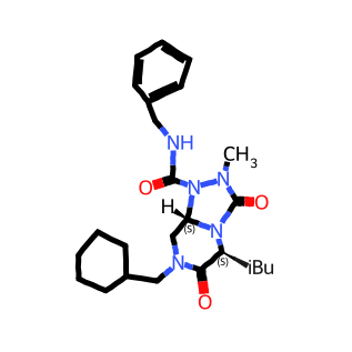 CCC(C)[C@H]1C(=O)N(CC2CCCCC2)C[C@H]2N1C(=O)N(C)N2C(=O)NCc1ccccc1